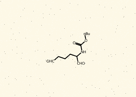 CCCCOC(=O)NC([C]=O)CCC[C]=O